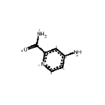 [NH]c1ccnc(C(N)=O)c1